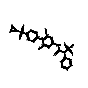 CCS(=O)(=O)C(C(=O)Nc1cc(Cl)c(-c2ccc(S(=O)(=O)C3CC3)cc2)c(Cl)c1)c1ccccc1